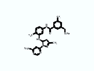 CNCc1cc(C(=O)Nc2ccc(C)c(NC3CC(C)=NN3c3cc(NC)ncn3)c2)cc(C(F)(F)F)c1